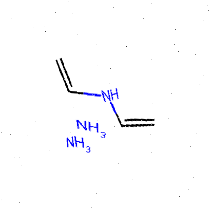 C=CNC=C.N.N